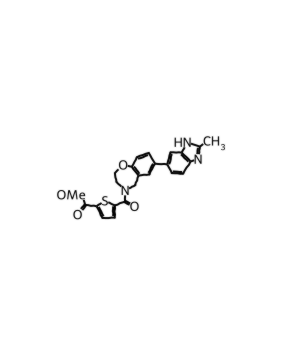 COC(=O)c1ccc(C(=O)N2CCOc3ccc(-c4ccc5nc(C)[nH]c5c4)cc3C2)s1